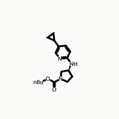 CCCCOC(=O)N1CC[C@H](Nc2ccc(C3CC3)cn2)C1